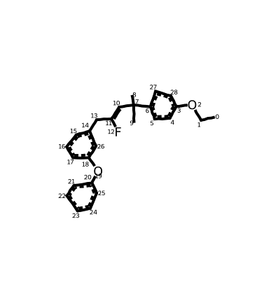 CCOc1ccc(C(C)(C)C=C(F)Cc2cccc(Oc3ccccc3)c2)cc1